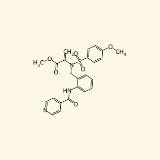 C=C(C(=O)OC)N(Cc1ccccc1NC(=O)c1ccncc1)S(=O)(=O)c1ccc(OC)cc1